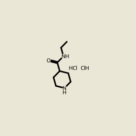 CCNC(=O)C1CCNCC1.Cl.Cl